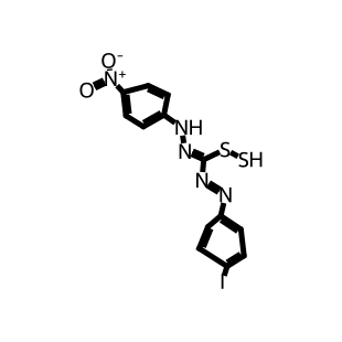 O=[N+]([O-])c1ccc(NN=C(N=Nc2ccc(I)cc2)SS)cc1